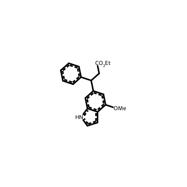 CCOC(=O)CC(c1ccccc1)c1cc(OC)c2cc[nH]c2c1